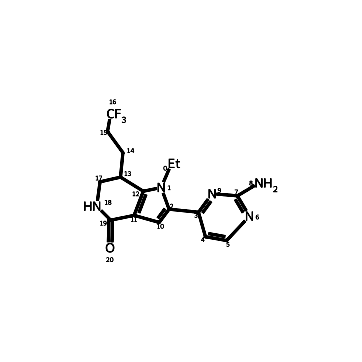 CCn1c(-c2ccnc(N)n2)cc2c1C(CCC(F)(F)F)CNC2=O